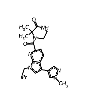 CC(C)Cn1cc(-c2cnn(C)c2)c2ccc(C(=O)N3CCNC(=O)C3(C)C)nc21